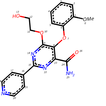 COc1ccccc1Oc1c(OCCO)nc(-c2ccncc2)nc1C(N)=O